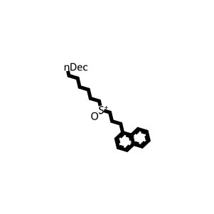 CCCCCCCCCCCCCCCC[S+]([O-])CCCc1cccc2ccccc12